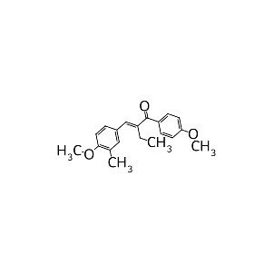 CC/C(=C\c1ccc(OC)c(C)c1)C(=O)c1ccc(OC)cc1